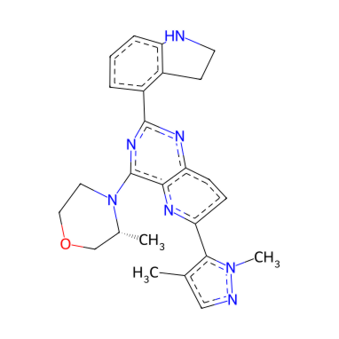 Cc1cnn(C)c1-c1ccc2nc(-c3cccc4c3CCN4)nc(N3CCOC[C@H]3C)c2n1